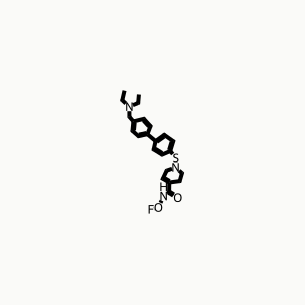 CCN(CC)Cc1ccc(-c2ccc(SN3CC=C(C(=O)NOF)CC3)cc2)cc1